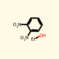 CCO.O=[N+]([O-])c1ccccc1[N+](=O)[O-]